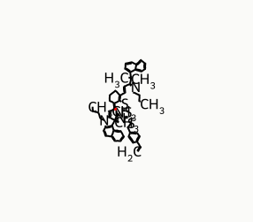 C=Cc1ccc(CSc2nnc(SC3=C(/C=C/C(=N\CCCC)C(C)(C)c4cccc5ccccc45)CCC/C3=C\C=C3\N(CCCC)c4ccc5ccccc5c4C3(C)CC)s2)cc1